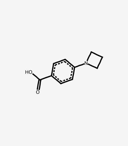 O=C(O)c1ccc(N2CCC2)cc1